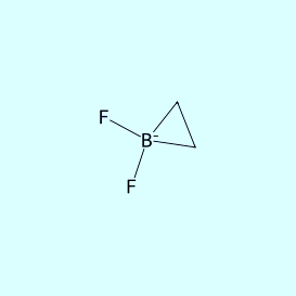 F[B-]1(F)CC1